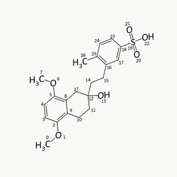 COc1ccc(OC)c2c1CCC(O)(CCc1cc(S(=O)(=O)O)ccc1C)C2